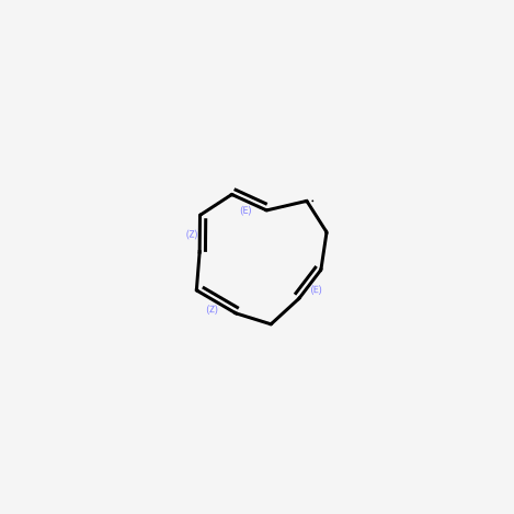 [CH]1/C=C/C=C\C=C/C/C=C/C1